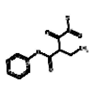 CCC(C(=O)Oc1ccccc1)C(=O)[N+](=O)[O-]